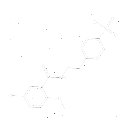 COc1ccc(Cl)cc1C(=O)NCCc1ccc(S(=O)(=O)Cl)cc1